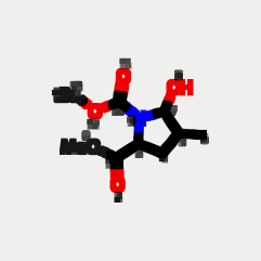 COC(=O)C1CC(C)C(O)N1C(=O)OC(C)(C)C